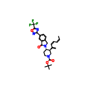 C=C(/C=C\C=C/C)[C@H]1CN(C(=O)OC(C)(C)C)CC[C@@H]1N1Cc2ccc(-c3noc(C(F)(F)F)n3)cc2C1=O